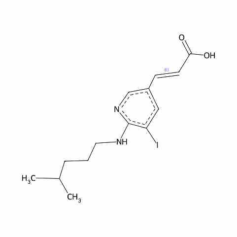 CC(C)CCCNc1ncc(/C=C/C(=O)O)cc1I